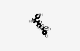 CC(Cc1ccc(Cl)cc1Cl)Oc1c(N)ncc2c(-c3c[nH]nc3C3CCNCC3)coc12